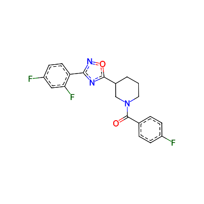 O=C(c1ccc(F)cc1)N1CCCC(c2nc(-c3ccc(F)cc3F)no2)C1